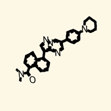 CN(C)C(=O)c1cccc2c(-c3cnn4cc(-c5ccc(N6CCCCC6)cc5)cnc34)cccc12